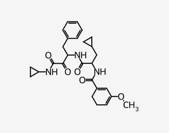 COC1=CCCC(C(=O)NC(CC2CC2)C(=O)NC(Cc2ccccc2)C(=O)C(=O)NC2CC2)=C1